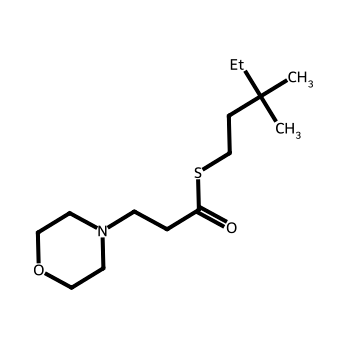 CCC(C)(C)CCSC(=O)CCN1CCOCC1